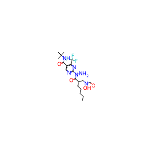 CCCCC[C@H](CN(O)C=O)C(=O)N(N)c1ncc(C(=O)NC(C)(C)C)c(C(F)(F)F)n1